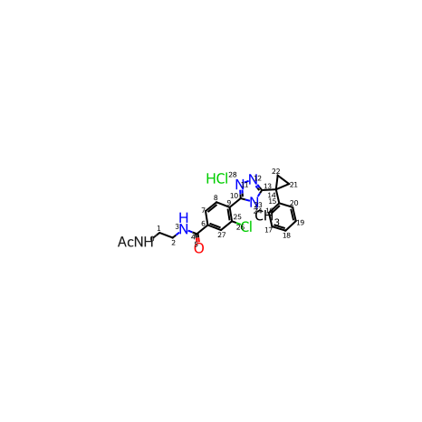 CC(=O)NCCNC(=O)c1ccc(-c2nnc(C3(c4ccccc4)CC3)n2C)c(Cl)c1.Cl